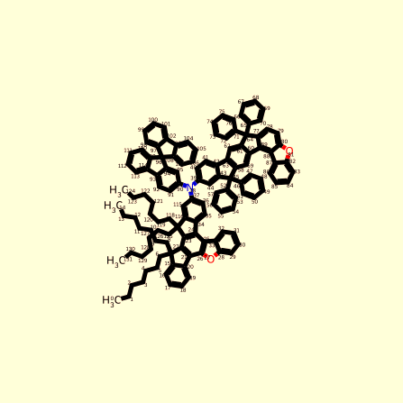 CCCCCCCC1(CCCCCCC)c2ccccc2-c2c1c1c(c3c2oc2ccccc23)-c2ccc(N(c3ccc4c(c3)C(c3ccccc3)(c3ccccc3)c3cc5c(cc3-4)C(c3ccccc3)(c3ccccc3)c3ccc4oc6ccccc6c4c3-5)c3ccc4c(c3)C3(c5ccccc5-c5ccccc53)c3ccccc3-4)cc2C1(CCCCCCC)CCCCCCC